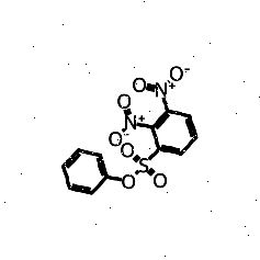 O=[N+]([O-])c1cccc(S(=O)(=O)Oc2ccccc2)c1[N+](=O)[O-]